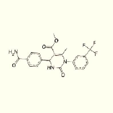 COC(=O)C1=C(C)N(c2cccc(C(F)(F)F)c2)C(=O)NC1c1ccc(C(N)=O)cc1